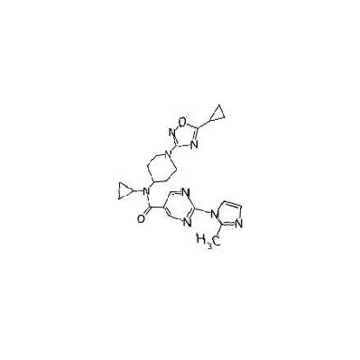 Cc1nccn1-c1ncc(C(=O)N(C2CC2)C2CCN(c3noc(C4CC4)n3)CC2)cn1